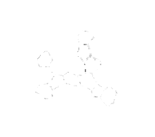 c1ccc(-n2c3ccccc3c3cc4c(cc32)c2c3sc5ccccc5c3ccc2n2c3ccccc3nc42)cc1